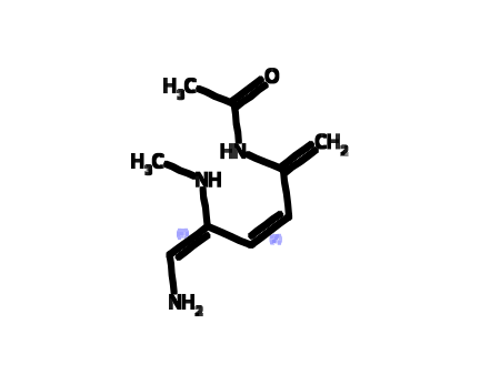 C=C(/C=C\C(=C/N)NC)NC(C)=O